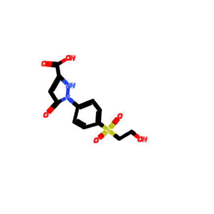 O=C(O)c1cc(=O)n(-c2ccc(S(=O)(=O)CCO)cc2)[nH]1